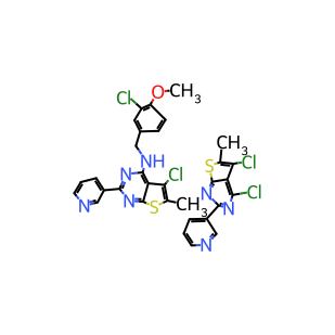 COc1ccc(CNc2nc(-c3cccnc3)nc3sc(C)c(Cl)c23)cc1Cl.Cc1sc2nc(-c3cccnc3)nc(Cl)c2c1Cl